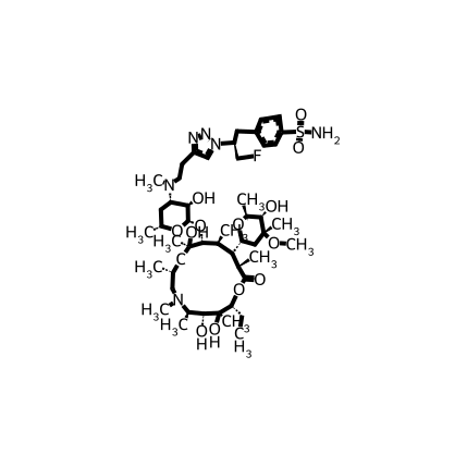 CC[C@H]1OC(=O)[C@H](C)C([C@H]2C[C@@](C)(OC)[C@@H](O)[C@H](C)O2)[C@H](C)[C@@H](O[C@@H]2O[C@H](C)C[C@H](N(C)CCc3cn([C@H](CF)Cc4ccc(S(N)(=O)=O)cc4)nn3)[C@H]2O)[C@](C)(O)C[C@@H](C)CN(C)[C@H](C)[C@@H](O)[C@]1(C)O